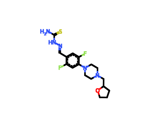 NC(=S)N/N=C/c1cc(F)c(N2CCN(CC3CCCO3)CC2)cc1F